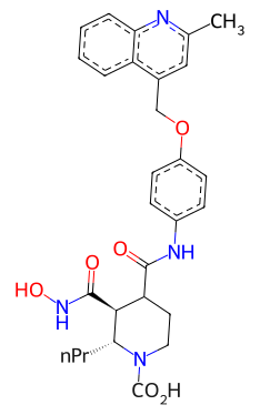 CCC[C@@H]1[C@@H](C(=O)NO)C(C(=O)Nc2ccc(OCc3cc(C)nc4ccccc34)cc2)CCN1C(=O)O